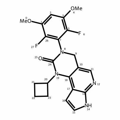 COc1cc(OC)c(F)c(N2Cc3cnc4[nH]ccc4c3N(C3CCC3)C2=O)c1F